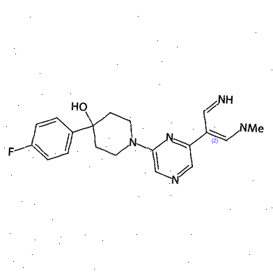 CN/C=C(\C=N)c1cncc(N2CCC(O)(c3ccc(F)cc3)CC2)n1